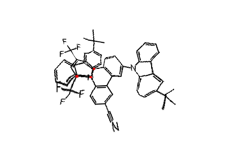 CC(C)(C)c1ccc2c(c1)c1ccccc1n2-c1ccc(-c2cc(C(F)(F)F)cc(C(F)(F)F)c2)c(-c2cc(C#N)ccc2-n2c3ccccc3c3cc(C(C)(C)C)ccc32)c1